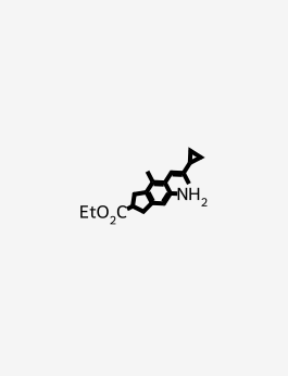 CCOC(=O)C1Cc2cc(N)c(/C=C(\C)C3CC3)c(C)c2C1